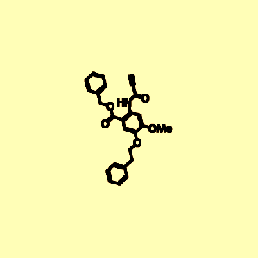 C#CC(=O)Nc1cc(OC)c(OCCc2ccccc2)cc1C(=O)OCc1ccccc1